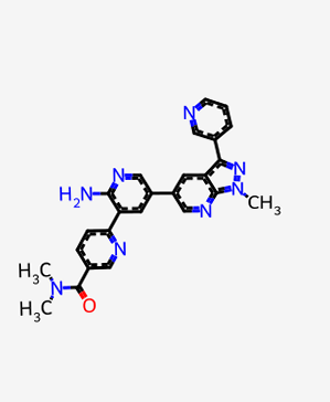 CN(C)C(=O)c1ccc(-c2cc(-c3cnc4c(c3)c(-c3cccnc3)nn4C)cnc2N)nc1